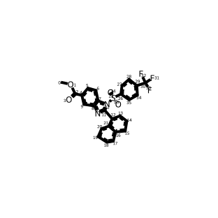 COC(=O)c1ccc2c(c1)nc(-c1cccc3ccccc13)n2S(=O)(=O)c1ccc(C(F)(F)F)cc1